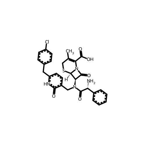 CC1=C(C(=O)O)N2C(=O)[C@@H](N(Cc3ccc(Cc4ccc(Cl)cc4)[nH]c3=O)C(=O)[C@H](N)c3ccccc3)[C@H]2SC1